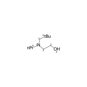 CCCN(CCO)CC(C)(C)C